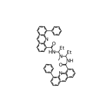 CCC(NC(=O)c1cccc2cc3cccc(-c4ccccc4)c3nc12)N(C)C(CC)NC(=O)c1cccc2cc3cccc(-c4ccccc4)c3nc12